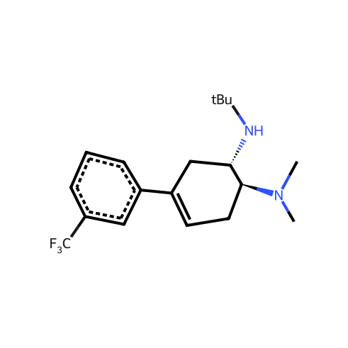 CN(C)[C@H]1CC=C(c2cccc(C(F)(F)F)c2)C[C@@H]1NC(C)(C)C